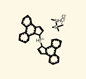 C1=C[CH]([Hf+2][CH]2C=Cc3c2c2ccccc2c2ccccc32)c2c1c1ccccc1c1ccccc21.C[SiH2][Si](C)(C)C.[Cl-].[Cl-]